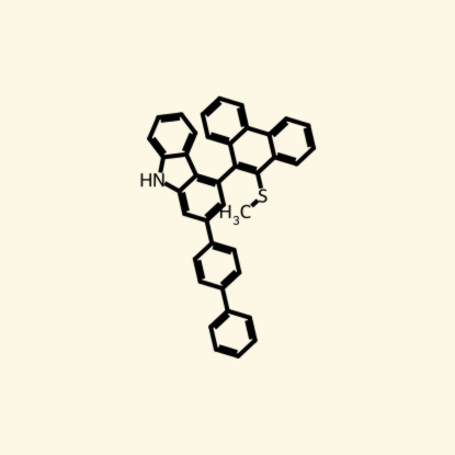 CSc1c(-c2cc(-c3ccc(-c4ccccc4)cc3)cc3[nH]c4ccccc4c23)c2ccccc2c2ccccc12